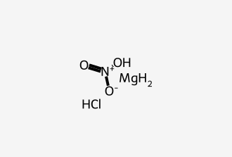 Cl.O=[N+]([O-])O.[MgH2]